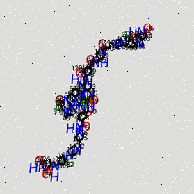 COc1cc(C(=O)NN2CCC(CN3CCN(c4ccc(NC5CCC(=O)NC5=O)cc4F)CC3)CC2)ccc1Nc1ncc2c(n1)N(C(C)C)CC(F)(F)C(=O)N2CC1CCC(N2CC(F)(F)C(=O)N(C)c3cnc(Nc4ccc(C(=O)NC5CCN(C(=O)CCN6CCN(c7ccc(N(C)C8CCC(=O)NC8=O)cc7F)CC6)CC5)cc4OC)nc32)C1